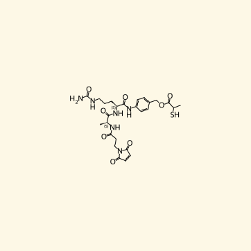 CC(S)C(=O)OCc1ccc(NC(=O)[C@H](CCCNC(N)=O)NC(=O)[C@H](C)NC(=O)CCN2C(=O)C=CC2=O)cc1